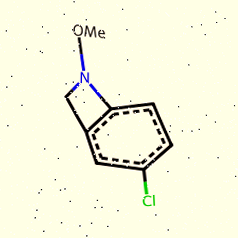 CON1Cc2cc(Cl)ccc21